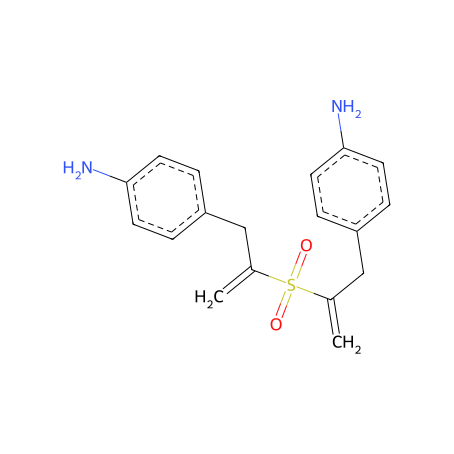 C=C(Cc1ccc(N)cc1)S(=O)(=O)C(=C)Cc1ccc(N)cc1